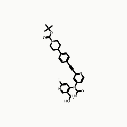 CC(C)(C)OC(=O)N1CCC(c2ccc(C#Cc3cc(N(C(N)=O)c4cc(F)ncc4CO)ccn3)cc2)CC1